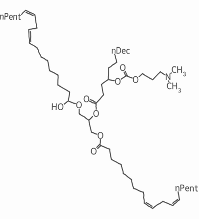 CCCCC/C=C\C/C=C\CCCCCCCC(=O)OCC(COC(O)CCCCCCC/C=C\C/C=C\CCCCC)OC(=O)CCC(CCCCCCCCCCCC)OC(=O)OCCCN(C)C